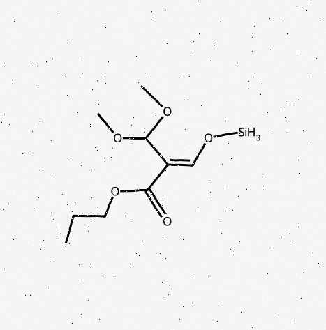 [CH2]CCOC(=O)C(=CO[SiH3])C(OC)OC